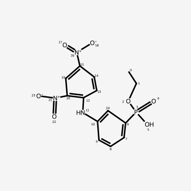 CCOP(=O)(O)c1cccc(Nc2ccc([N+](=O)[O-])cc2[N+](=O)[O-])c1